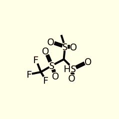 CS(=O)(=O)C([SH](=O)=O)S(=O)(=O)C(F)(F)F